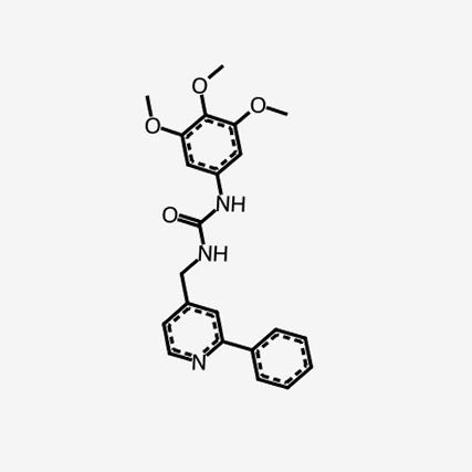 COc1cc(NC(=O)NCc2ccnc(-c3ccccc3)c2)cc(OC)c1OC